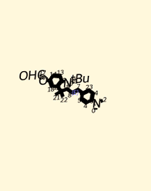 CN(C)c1ccc(/C=C/C2=[N+](C(C)(C)C)c3ccc(OC=O)cc3C2(C)C)cc1